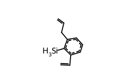 C=CCc1cccc(C=C)c1[SiH3]